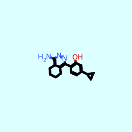 Nc1nnc(-c2ccc(C3CC3)cc2O)c2c1CCCC2